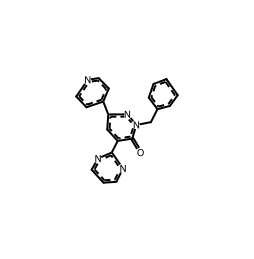 O=c1c(-c2ncccn2)cc(-c2ccncc2)nn1Cc1ccccc1